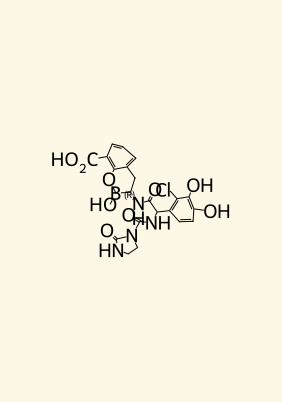 O=C(O)c1cccc2c1OB(O)[C@@H](NC(=O)C(NC(=O)N1CCNC1=O)c1ccc(O)c(O)c1Cl)C2